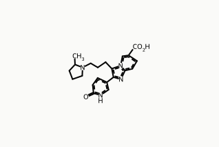 CC1CCCN1CCCc1c(-c2ccc(=O)[nH]c2)nc2ccc(C(=O)O)cn12